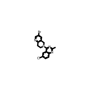 Cc1nc(N2CCc3ncc(Br)cc3C2)c2cc(Cl)ccc2n1